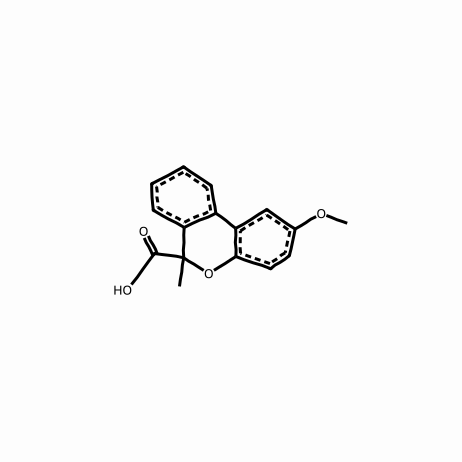 COc1ccc2c(c1)-c1ccccc1C(C)(C(=O)O)O2